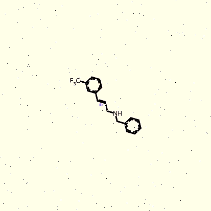 FC(F)(F)c1cccc(/C=C/CNCc2ccccc2)c1